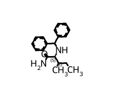 CC[C@@H](C)[C@H](NC(c1ccccc1)c1ccccc1)C(N)=O